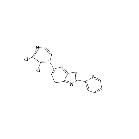 Clc1nccc(C2=CCC3=NC(c4ccccn4)=CC3=C2)c1Cl